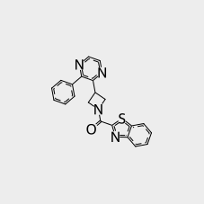 O=C(c1nc2ccccc2s1)N1CC(c2nccnc2-c2ccccc2)C1